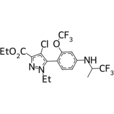 CCOC(=O)c1nn(CC)c(-c2ccc(NC(C)C(F)(F)F)cc2OC(F)(F)F)c1Cl